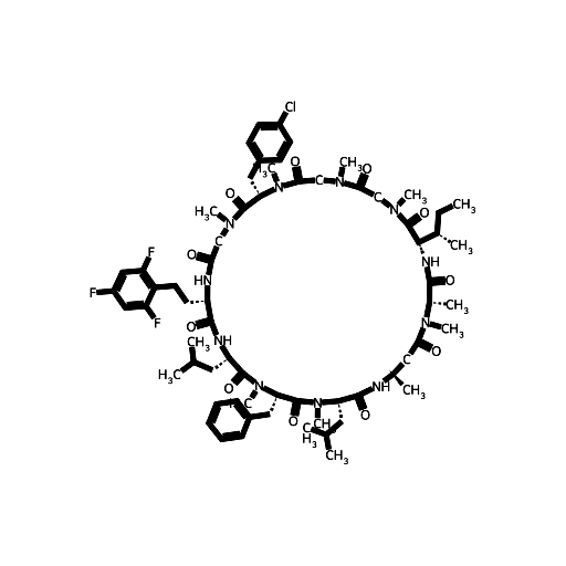 CC[C@H](C)[C@@H]1NC(=O)[C@H](C)N(C)C(=O)C[C@@H](C)NC(=O)[C@H](CC(C)C)N(C)C(=O)[C@H](Cc2ccccc2)N(C)C(=O)[C@H](CC(C)C)NC(=O)[C@H](CCc2c(F)cc(F)cc2F)NC(=O)CN(C)C(=O)[C@H](Cc2ccc(Cl)cc2)N(C)C(=O)CN(C)C(=O)CN(C)C1=O